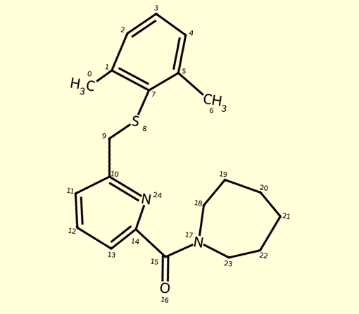 Cc1cccc(C)c1SCc1cccc(C(=O)N2CCCCCC2)n1